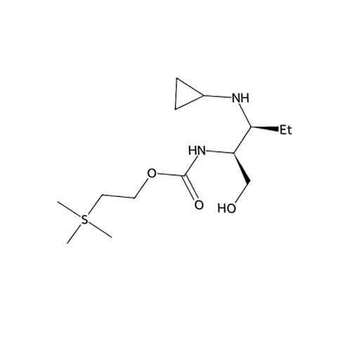 CC[C@H](NC1CC1)[C@@H](CO)NC(=O)OCCS(C)(C)C